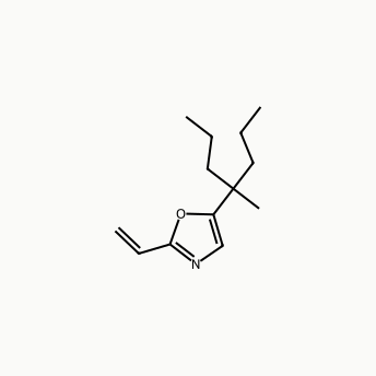 C=Cc1ncc(C(C)(CCC)CCC)o1